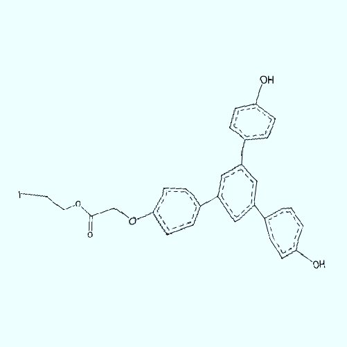 O=C(COc1ccc(-c2cc(-c3ccc(O)cc3)cc(-c3ccc(O)cc3)c2)cc1)OCCI